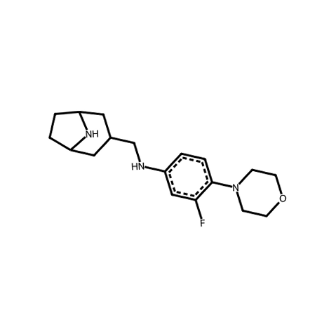 Fc1cc(NCC2CC3CCC(C2)N3)ccc1N1CCOCC1